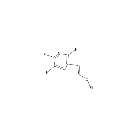 CCOC=Cc1cc(F)c(F)nc1F